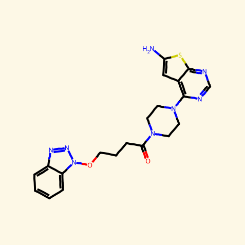 Nc1cc2c(N3CCN(C(=O)CCCOn4nnc5ccccc54)CC3)ncnc2s1